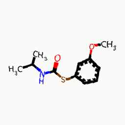 COc1cccc(SC(=O)NC(C)C)c1